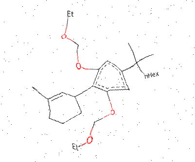 CCCCCCC(C)(C)c1cc(OCOCC)c(C2C=C(C)CCC2)c(OCOCC)c1